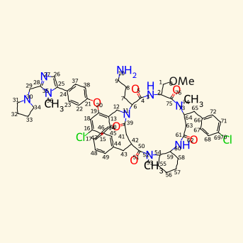 COCC1NC(=O)C(CCCN)N(Cc2ccc(Cl)cc2Oc2ccc(-c3cnc(CN4CCCC4)n3C)cc2)C(=O)CC(Cc2ccccc2)C(=O)N(C)C2CCCCC2NC(=O)CC(Cc2ccc(Cl)cc2)N(C)C1=O